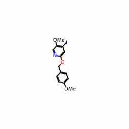 COc1ccc(COc2cc(I)c(OC)cn2)cc1